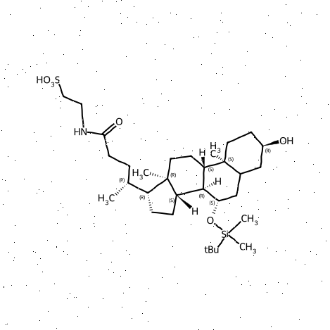 C[C@H](CCC(=O)NCCS(=O)(=O)O)[C@H]1CC[C@H]2[C@@H]3[C@@H](O[Si](C)(C)C(C)(C)C)CC4C[C@H](O)CC[C@]4(C)[C@H]3CC[C@]12C